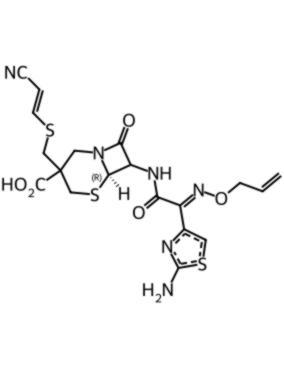 C=CCON=C(C(=O)NC1C(=O)N2CC(CSC=CC#N)(C(=O)O)CS[C@H]12)c1csc(N)n1